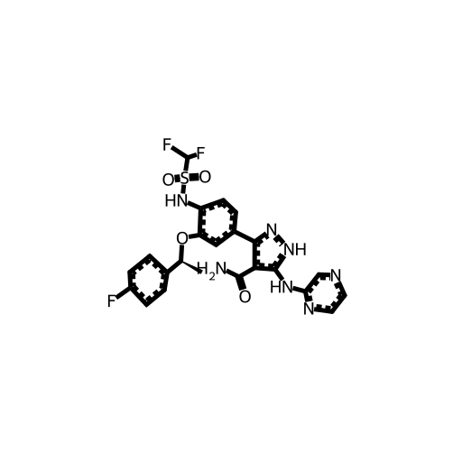 C[C@H](Oc1cc(-c2n[nH]c(Nc3cnccn3)c2C(N)=O)ccc1NS(=O)(=O)C(F)F)c1ccc(F)cc1